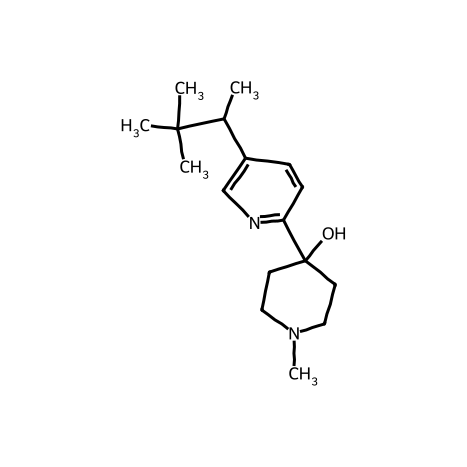 CC(c1ccc(C2(O)CCN(C)CC2)nc1)C(C)(C)C